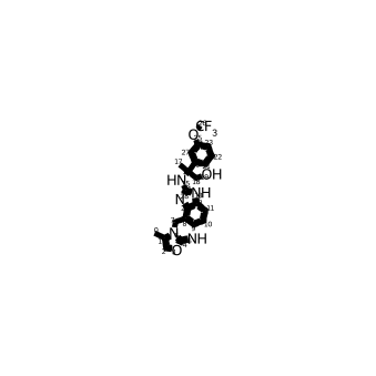 Cc1coc(=N)n1Cc1cccc2[nH]c(NC(C)(CO)c3cccc(OC(F)(F)F)c3)nc12